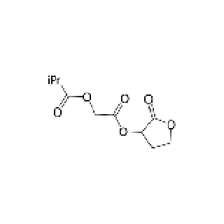 CC(C)C(=O)OCC(=O)OC1CCOC1=O